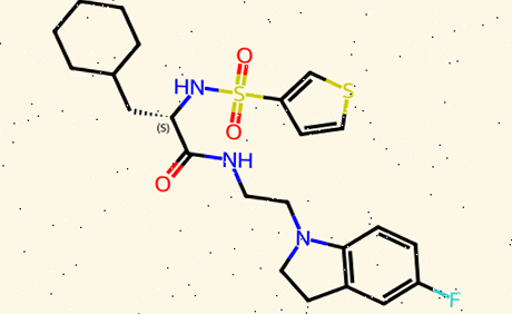 O=C(NCCN1CCc2cc(F)ccc21)[C@H](CC1CCCCC1)NS(=O)(=O)c1ccsc1